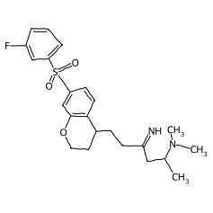 CC(CC(=N)CCC1CCOc2cc(S(=O)(=O)c3cccc(F)c3)ccc21)N(C)C